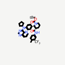 Cc1ccc(NC(=O)[C@H]2CCCN(C(=O)OC(C)(C)C)[C@H]2c2ccc(N(c3ncnc4cccnc34)C3CCCC3)cc2)cc1C(F)(F)F